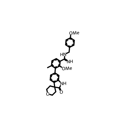 COc1ccc(CNC(=N)c2ccc(C)c(-c3ccc4c(c3)NC(=O)C43CCOCC3)c2OC)cc1